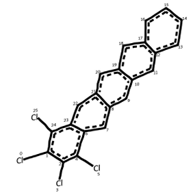 Clc1c(Cl)c(Cl)c2cc3cc4cc5ccccc5cc4cc3cc2c1Cl